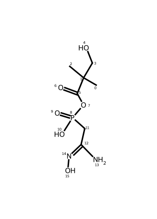 CC(C)(CO)C(=O)OP(=O)(O)CC(N)=NO